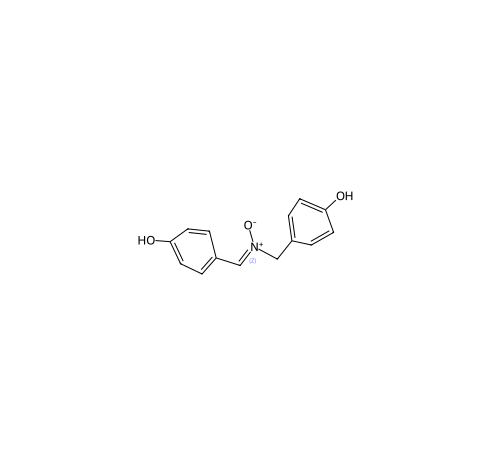 [O-]/[N+](=C\c1ccc(O)cc1)Cc1ccc(O)cc1